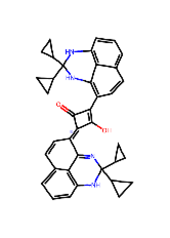 O=C1C(c2ccc3cccc4c3c2NC(C2CC2)(C2CC2)N4)=C(O)/C1=c1/ccc2cccc3c2c1=NC(C1CC1)(C1CC1)N3